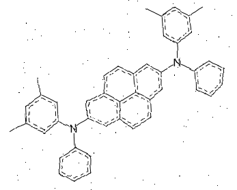 Cc1cc(C)cc(N(c2ccccc2)c2cc3ccc4cc(N(c5ccccc5)c5cc(C)cc(C)c5)cc5ccc(c2)c3c45)c1